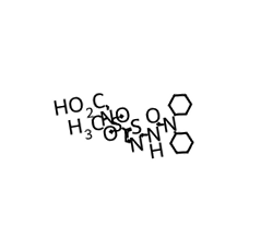 CN(CC(=O)O)S(=O)(=O)c1cnc(NC(=O)N(C2CCCCC2)C2CCCCC2)s1